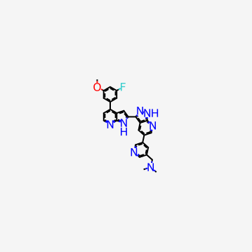 COc1cc(F)cc(-c2ccnc3[nH]c(-c4n[nH]c5ncc(-c6cncc(CN(C)C)c6)cc45)cc23)c1